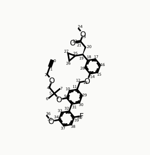 C#CCOCC(C)(C)Oc1cc(COc2cccc([C@H](CC(=O)OC)C3CC3)c2)ccc1-c1cc(OC)ccc1F